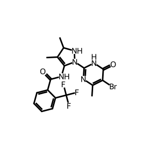 CC1=C(NC(=O)c2ccccc2C(F)(F)F)N(c2nc(C)c(Br)c(=O)[nH]2)NC1C